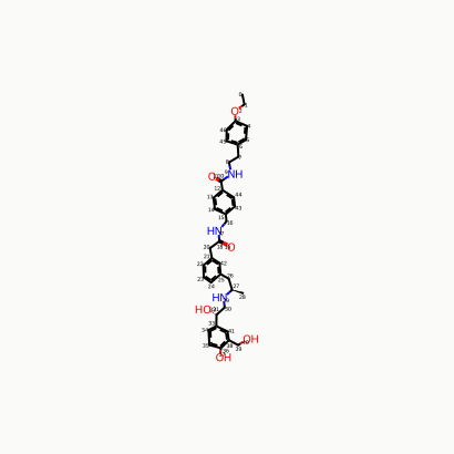 CCOc1ccc(CCNC(=O)c2ccc(CNC(=O)Cc3cccc(C[C@@H](C)NC[C@@H](O)c4ccc(O)c(CO)c4)c3)cc2)cc1